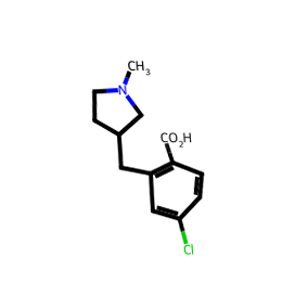 CN1CCC(Cc2cc(Cl)ccc2C(=O)O)C1